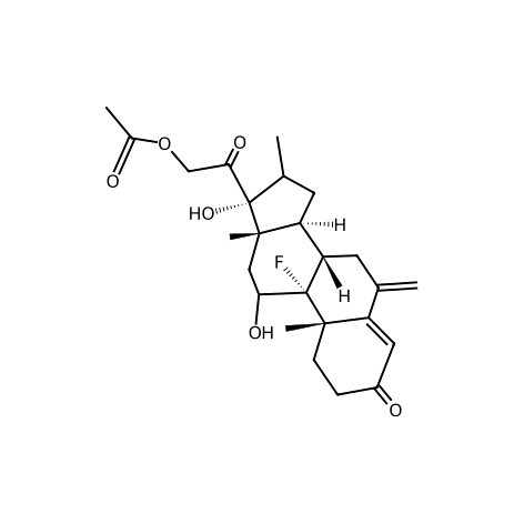 C=C1C[C@H]2[C@@H]3CC(C)[C@](O)(C(=O)COC(C)=O)[C@@]3(C)CC(O)[C@]2(F)[C@@]2(C)CCC(=O)C=C12